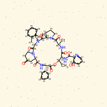 CC[C@H]1NC(=O)[C@@H](NC(=O)c2ncccc2O)C(C)OC(=O)[C@H](c2ccccc2)NC(=O)C2CC(=O)CCN2C(=O)[C@H](Cc2ccccc2)N(C)C(=O)[C@@H]2CCCN2C1=O